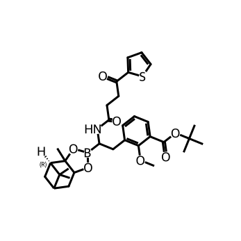 COc1c(CC(NC(=O)CCC(=O)c2cccs2)B2OC3CC4C[C@H](C4(C)C)C3(C)O2)cccc1C(=O)OC(C)(C)C